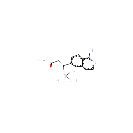 Cc1nccc2cc([C@H](CC(=O)OC(C)(C)C)O[Si](C)(C)C(C)(C)C)ccc12